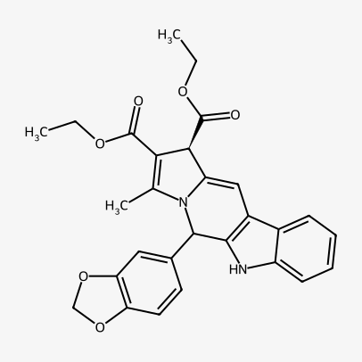 CCOC(=O)C1=C(C)N2C(=Cc3c([nH]c4ccccc34)C2c2ccc3c(c2)OCO3)[C@@H]1C(=O)OCC